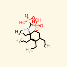 CCC1=C(CC)C(CC)(NC(P(=O)(O)O)P(=O)(O)O)CCC1CC